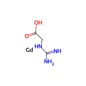 N=C(N)NCC(=O)O.[Gd]